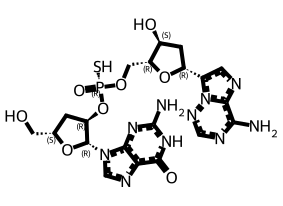 Nc1nc2c(ncn2[C@@H]2O[C@H](CO)C[C@H]2O[P@](=O)(S)OC[C@H]2O[C@@H](c3cnc4c(N)ncnn34)C[C@@H]2O)c(=O)[nH]1